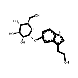 OCCc1c[nH]c2ccc(O[C@H]3O[C@H](CO)[C@@H](O)[C@H](O)[C@H]3O)cc12